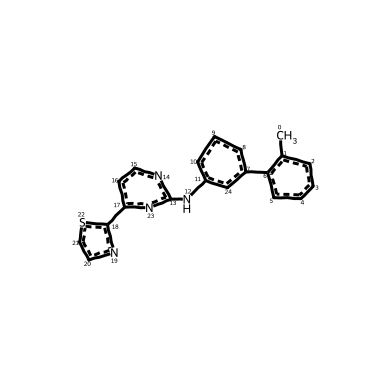 Cc1ccccc1-c1cccc(Nc2nccc(-c3nccs3)n2)c1